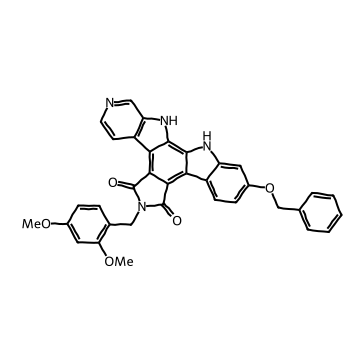 COc1ccc(CN2C(=O)c3c(c4c5ccc(OCc6ccccc6)cc5[nH]c4c4[nH]c5cnccc5c34)C2=O)c(OC)c1